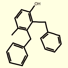 Cc1ccc(O)c(Cc2ccccc2)c1Cc1ccccc1